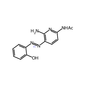 CC(=O)Nc1ccc(/N=N/c2ccccc2O)c(N)n1